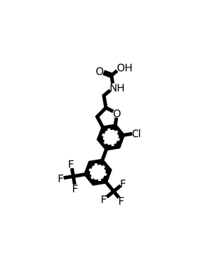 O=C(O)NCC1Cc2cc(-c3cc(C(F)(F)F)cc(C(F)(F)F)c3)cc(Cl)c2O1